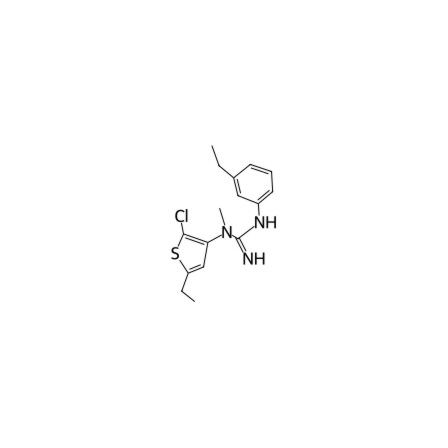 CCc1cccc(NC(=N)N(C)c2cc(CC)sc2Cl)c1